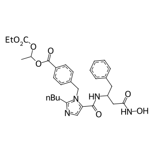 CCCCc1ncc(C(=O)NC(CC(=O)NO)Cc2ccccc2)n1Cc1ccc(C(=O)OC(C)OC(=O)OCC)cc1